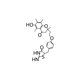 Cc1c(C)c2c(c(C)c1O)C(=O)CC(C)(CCOc1ccc(CC3SC(=N)NC3=O)cc1)O2